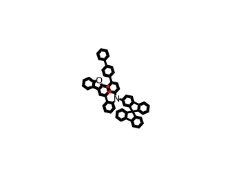 c1ccc(-c2ccc(-c3ccc(N(c4ccc5c(c4)C4(c6ccccc6-c6ccccc64)c4ccccc4-5)c4ccccc4-c4ccc5oc6ccccc6c5c4)cc3)cc2)cc1